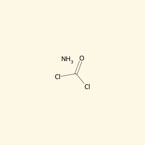 N.O=C(Cl)Cl